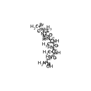 C=C(Br)C(=O)Nc1n[nH]c(C(=O)Nc2c[nH]c(C(=O)Nc3c[nH]c(C(=O)NCCC(N)=NO)c3C)c2C)c1C